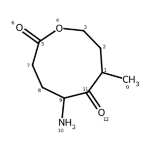 CC1CCOC(=O)CCC(N)C1=O